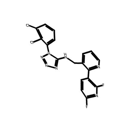 Fc1ccc(-c2ncccc2CNc2nnnn2-c2cccc(Cl)c2Cl)c(F)n1